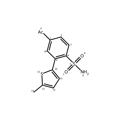 CC(=O)c1ccc(S(N)(=O)=O)c(-c2ccc(C)s2)c1